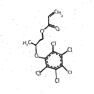 C=CC(=O)OCC(C)Oc1c(Cl)c(Cl)c(Cl)c(Cl)c1Cl